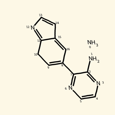 N.Nc1nccnc1C1=CCC2=NC=CC2=C1